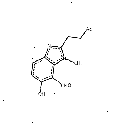 CC(=O)CCc1nc2ccc(O)c(C=O)c2n1C